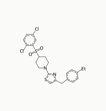 CCc1ccc(Cc2csc(N3CCC(S(=O)(=O)c4cc(Cl)ccc4Cl)CC3)n2)cc1